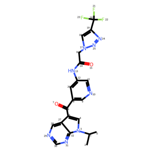 CC(C)n1cc(C(=O)c2cncc(NC(=O)Cn3cc(C(F)(F)F)nn3)c2)c2cncnc21